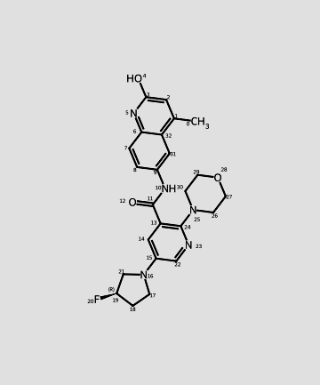 Cc1cc(O)nc2ccc(NC(=O)c3cc(N4CC[C@@H](F)C4)cnc3N3CCOCC3)cc12